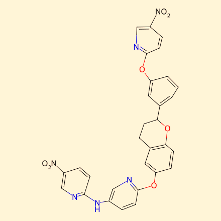 O=[N+]([O-])c1ccc(Nc2ccc(Oc3ccc4c(c3)CCC(c3cccc(Oc5ccc([N+](=O)[O-])cn5)c3)O4)nc2)nc1